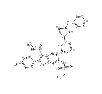 CCS(=O)(=O)Nc1cc2oc(-c3ccc(F)cc3)c(C(=O)NC)c2cc1-c1cccc(-c2nnn(Cc3ccccc3)n2)c1